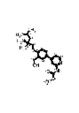 COC(=O)Nc1cc(-c2ccc(OCC(C)(N)CC(C)C)c(CO)c2)ccn1